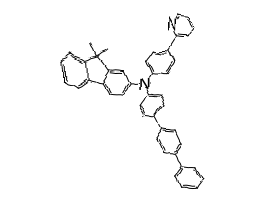 CC1(C)c2ccccc2-c2ccc(N(c3ccc(-c4ccc(-c5ccccc5)cc4)cc3)c3ccc(-c4ccccn4)cc3)cc21